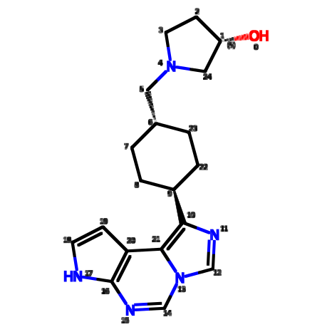 O[C@H]1CCN(C[C@H]2CC[C@H](c3ncn4cnc5[nH]ccc5c34)CC2)C1